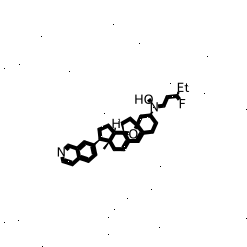 CC[C@@H](F)CCN(O)[C@H]1CCC2=CC3=CC[C@]4(C)[C@@H](c5ccc6ccncc6c5)CC[C@H]4[C@@]34CCC2(C1)O4